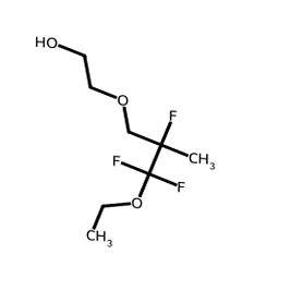 CCOC(F)(F)C(C)(F)COCCO